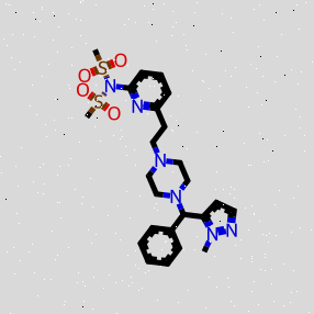 Cn1nccc1C(c1ccccc1)N1CCN(CCc2cccc(N(S(C)(=O)=O)S(C)(=O)=O)n2)CC1